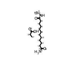 CC(C)(C)NC(=O)CCCCCCCCCCC(N)=O.CCC(=O)O